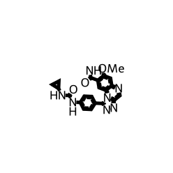 COc1cc2ncc3nnc(-c4ccc(NC(=O)NC5CC5)cc4)n3c2cc1C(N)=O